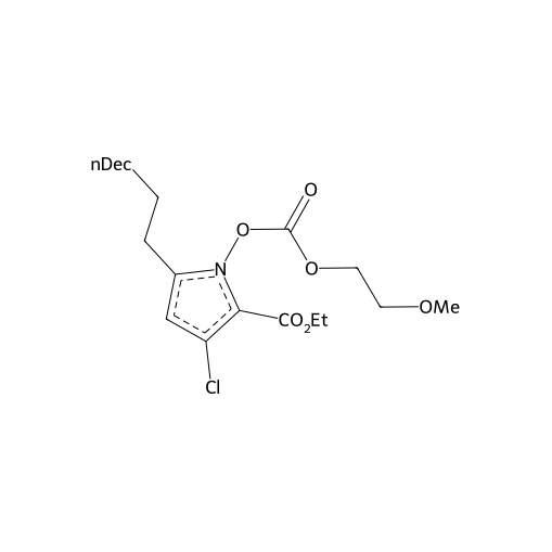 CCCCCCCCCCCCc1cc(Cl)c(C(=O)OCC)n1OC(=O)OCCOC